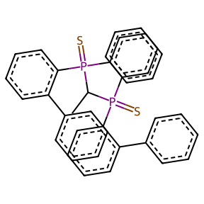 CC(P(=S)(c1ccccc1)c1ccccc1-c1ccccc1)P(=S)(c1ccccc1)c1ccccc1-c1ccccc1